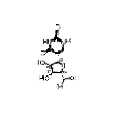 [2H]C(O)[C@H]1O[C@@H](c2c[nH]c(=O)[nH]c2=O)[C@H](O)[C@@H]1O